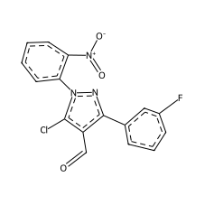 O=Cc1c(-c2cccc(F)c2)nn(-c2ccccc2[N+](=O)[O-])c1Cl